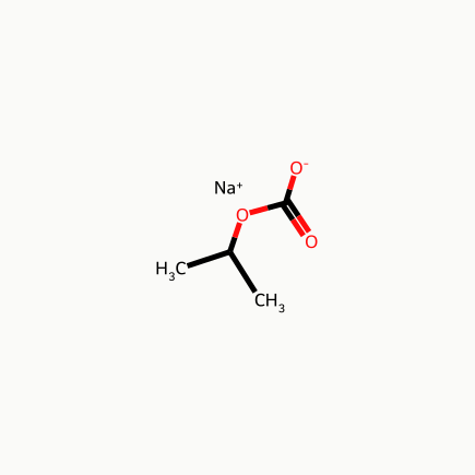 CC(C)OC(=O)[O-].[Na+]